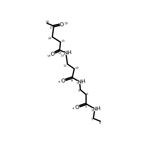 CCNC(=O)CCNC(=O)CCNC(=O)CCC(C)=O